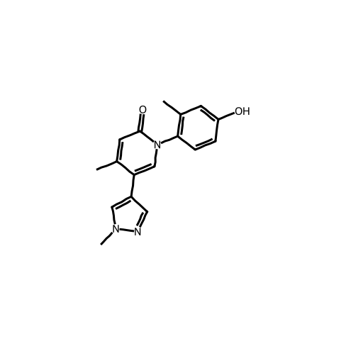 Cc1cc(=O)n(-c2ccc(O)cc2C)cc1-c1cnn(C)c1